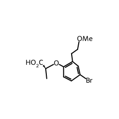 COCCc1cc(Br)ccc1O[C@@H](C)C(=O)O